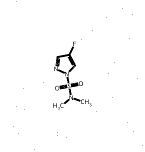 CN(C)S(=O)(=O)n1cc(F)cn1